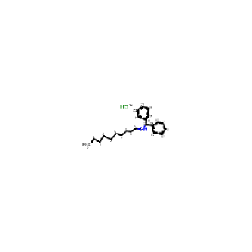 CCCCCCCCCCNC(c1ccccc1)c1ccccc1.Cl